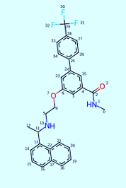 CNC(=O)c1cc(OCCNC(C)c2cccc3ccccc23)cc(-c2ccc(C(F)(F)F)cc2)c1